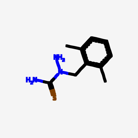 Cc1cccc(C)c1CN(N)C(N)=S